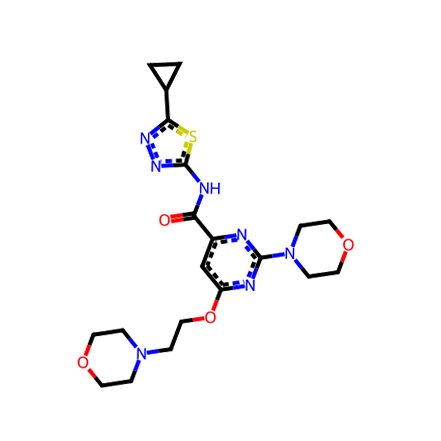 O=C(Nc1nnc(C2CC2)s1)c1cc(OCCN2CCOCC2)nc(N2CCOCC2)n1